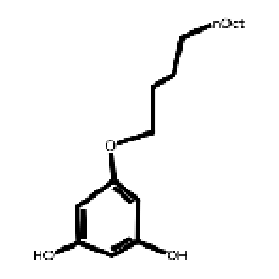 CCCCCCCCCCCCOc1cc(O)cc(O)c1